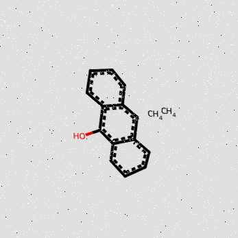 C.C.Oc1c2ccccc2cc2ccccc12